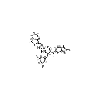 Cc1nc2cc(N(C)C(=O)C(Cc3cc(F)cc(F)c3)NC(=O)NSN3CCc4cccnc43)ccc2s1